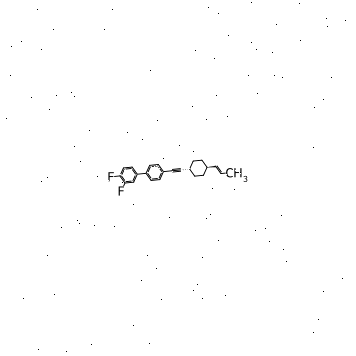 C/C=C/[C@H]1CC[C@H](C#Cc2ccc(-c3ccc(F)c(F)c3)cc2)CC1